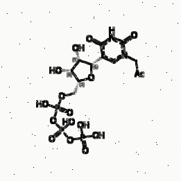 CC(=O)Cn1cc([C@@H]2O[C@H](COP(=O)(O)OP(=O)(O)OP(=O)(O)O)[C@H](O)[C@@H]2O)c(=O)[nH]c1=O